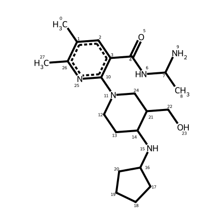 Cc1cc(C(=O)NC(C)N)c(N2CCC(NC3CCCC3)C(CO)C2)nc1C